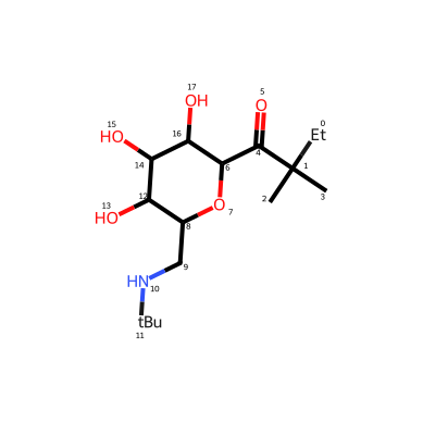 CCC(C)(C)C(=O)C1OC(CNC(C)(C)C)C(O)C(O)C1O